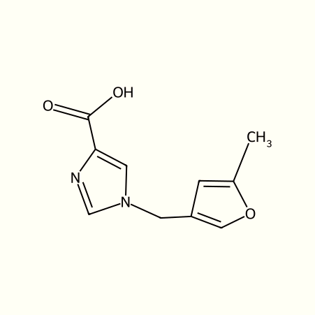 Cc1cc(Cn2cnc(C(=O)O)c2)co1